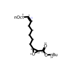 CCCCCCCC/C=C\CCCCCC1OC1C(=O)OCCCC